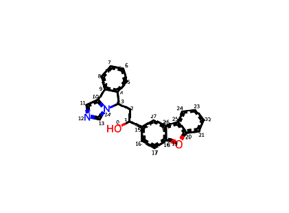 OC(CC1c2ccccc2-c2cncn21)c1ccc2oc3ccccc3c2c1